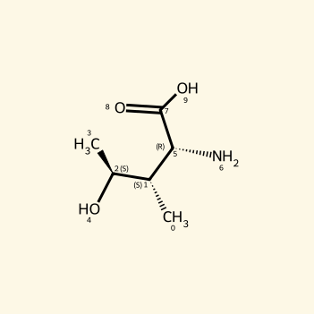 C[C@H]([C@H](C)O)[C@@H](N)C(=O)O